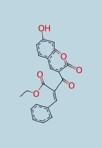 CCOC(=O)C(=Cc1ccccc1)C(=O)c1cc2ccc(O)cc2oc1=O